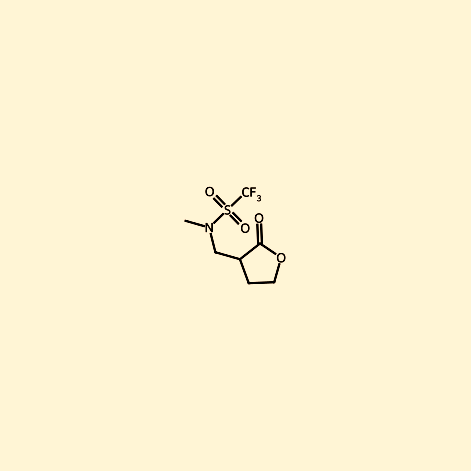 CN(CC1CCOC1=O)S(=O)(=O)C(F)(F)F